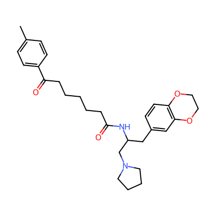 Cc1ccc(C(=O)CCCCCC(=O)NC(Cc2ccc3c(c2)OCCO3)CN2CCCC2)cc1